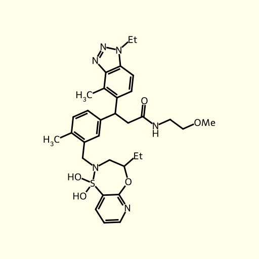 CCC1CN(Cc2cc(C(CC(=O)NCCOC)c3ccc4c(nnn4CC)c3C)ccc2C)S(O)(O)c2cccnc2O1